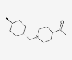 CC(=O)C1CCN(C[C@H]2CC[C@H](C)CC2)CC1